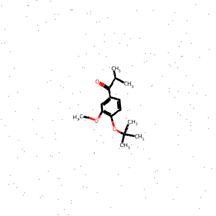 COc1cc(C(=O)C(C)C)ccc1OC(C)(C)C